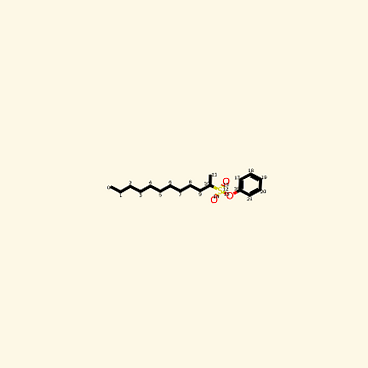 CCCCCCCCCCC(C)S(=O)(=O)Oc1ccccc1